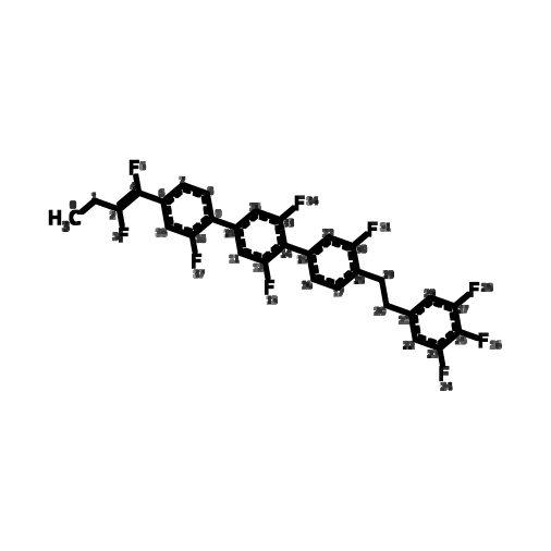 CC/C(F)=C(\F)c1ccc(-c2cc(F)c(-c3ccc(CCc4cc(F)c(F)c(F)c4)c(F)c3)c(F)c2)c(F)c1